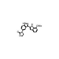 COc1cccc2cc(-c3n[nH]c4ccc(N5CCOC5=O)cc34)[nH]c12